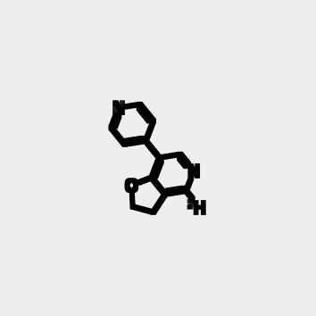 [2H]c1ncc(-c2ccncc2)c2c1CCO2